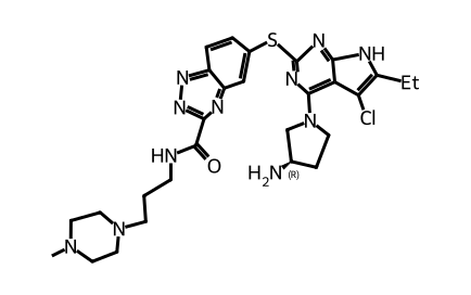 CCc1[nH]c2nc(Sc3ccc4nnc(C(=O)NCCCN5CCN(C)CC5)nc4c3)nc(N3CC[C@@H](N)C3)c2c1Cl